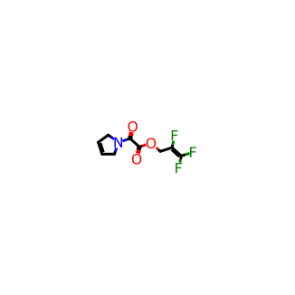 O=C(OCC(F)=C(F)F)C(=O)N1CC=CC1